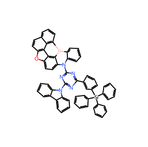 c1ccc([Si](c2ccccc2)(c2ccccc2)c2cccc(-c3nc(N4c5ccccc5B5c6cccc7ccc8oc9ccc4c5c9c8c67)nc(-n4c5ccccc5c5ccccc54)n3)c2)cc1